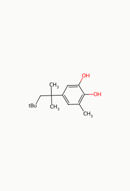 Cc1cc(C(C)(C)CC(C)(C)C)cc(O)c1O